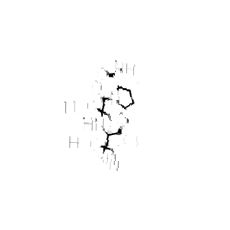 CC(C)(NC(C(=O)O)C(C)(C)S)C(=O)N1CCC[C@H]1C(N)=O